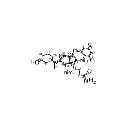 CCC[C@@H](CCC(N)=O)n1c(Nc2c(Cl)cc(Cl)cc2Cl)nc2cnc(N[C@@H]3CCC[C@H](O)C3)nc21